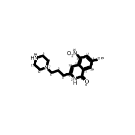 O=c1[nH]c(CCCN2CCNCC2)cc2c([N+](=O)[O-])cc(F)cc12